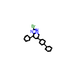 Brc1nc2c(-c3ccccc3)cc(-c3ccc(-c4ccccc4)cc3)cn2n1